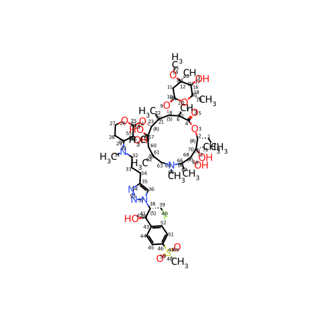 CC[C@H]1OC(=O)[C@H](C)[C@@H](O[C@H]2C[C@@](C)(OC)[C@@H](O)[C@H](C)O2)[C@H](C)[C@@H](O[C@@H]2OCC[C@H](N(C)CCCc3cn([C@H](CF)[C@H](O)c4ccc(S(C)(=O)=O)cc4)nn3)[C@H]2O)[C@](C)(O)C[C@@H](C)CN(C)[C@H](C)[C@@H](O)[C@]1(C)O